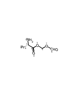 CC(C)[C@H](N)C(=O)OCOC=O